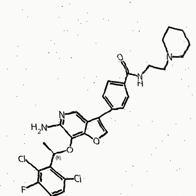 C[C@@H](Oc1c(N)ncc2c(-c3ccc(C(=O)NCCN4CCCCC4)cc3)coc12)c1c(Cl)ccc(F)c1Cl